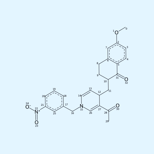 COc1ccc2c(c1)CCC(CC1C=CN(Cc3cccc([N+](=O)[O-])c3)C=C1C(C)=O)C2=O